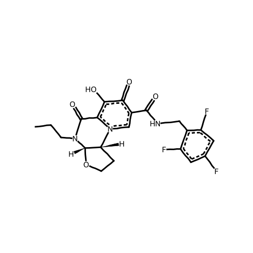 CCCN1C(=O)c2c(O)c(=O)c(C(=O)NCc3c(F)cc(F)cc3F)cn2[C@@H]2CCO[C@@H]21